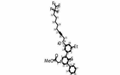 CCc1cc(-c2cn(CC(=O)OC)cc(-c3ccccc3)c2=S)cc([S+]([O-])CC#CCCCCCC(F)(F)C(F)F)c1